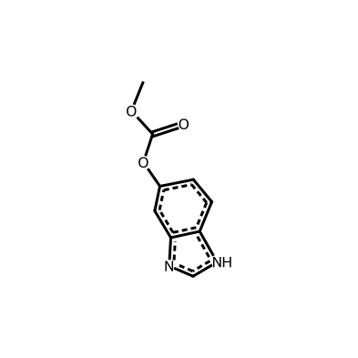 COC(=O)Oc1ccc2[nH]cnc2c1